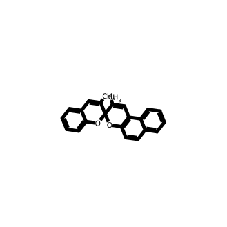 CC1=Cc2ccccc2OC12Oc1ccc3ccccc3c1C=C2C